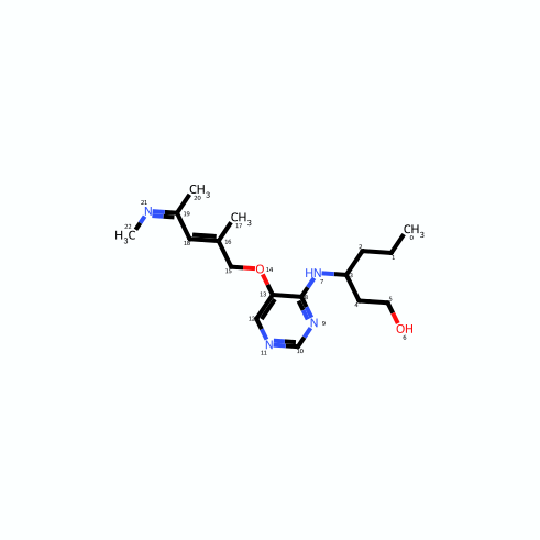 CCCC(CCO)Nc1ncncc1OC/C(C)=C/C(C)=N\C